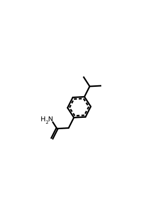 C=C(N)Cc1ccc(C(C)C)cc1